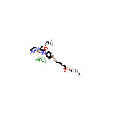 CCOC(=O)CCCCSc1ccc(NC(=O)C2=C(COC)N3CCCN=C3S2)cc1.Cl